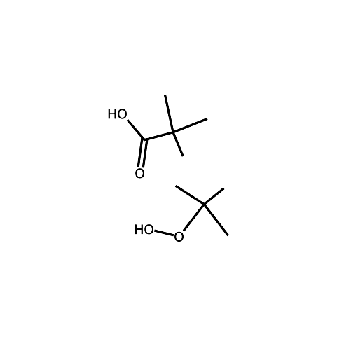 CC(C)(C)C(=O)O.CC(C)(C)OO